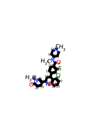 CN1CCC(N(C)C(=O)c2ccc(C(C/C(=N\O)c3ccc(=O)n(C)c3)c3ccccc3Cl)cc2F)CC1